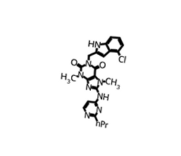 CCCc1nccc(Nc2nc3c(c(=O)n(Cc4cc5c(Cl)cccc5[nH]4)c(=O)n3C)n2C)n1